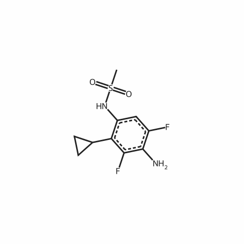 CS(=O)(=O)Nc1cc(F)c(N)c(F)c1C1CC1